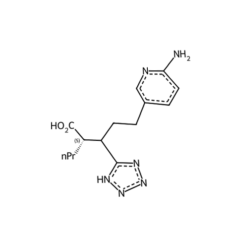 CCC[C@H](C(=O)O)C(CCc1ccc(N)nc1)c1nnn[nH]1